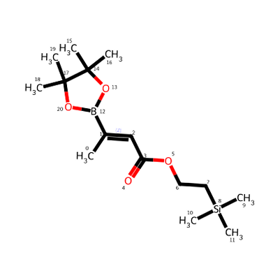 C/C(=C\C(=O)OCC[Si](C)(C)C)B1OC(C)(C)C(C)(C)O1